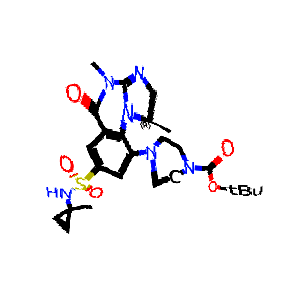 C[C@@H]1CN=C2N(C)C(=O)c3cc(S(=O)(=O)NC4(C)CC4)cc(N4CCN(C(=O)OC(C)(C)C)CC4)c3N21